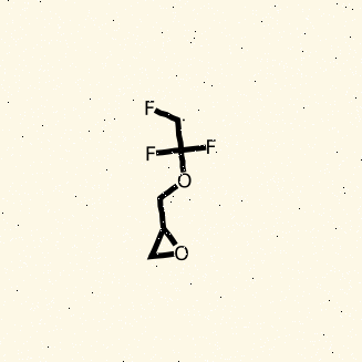 F[CH]C(F)(F)OCC1CO1